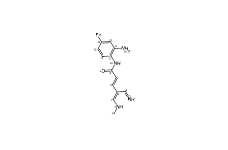 CN/C=C(C=N)/C=C/C(=O)Nc1ccc(F)cc1N